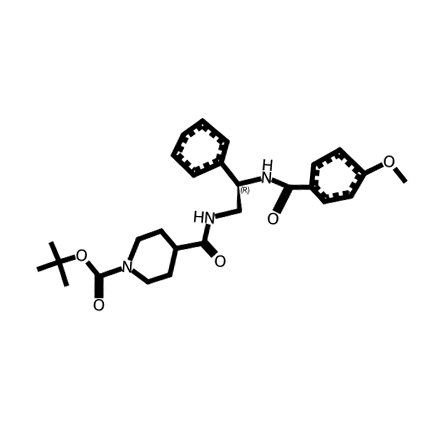 COc1ccc(C(=O)N[C@@H](CNC(=O)C2CCN(C(=O)OC(C)(C)C)CC2)c2ccccc2)cc1